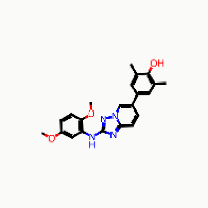 COc1ccc(OC)c(Nc2nc3ccc(-c4cc(C)c(O)c(C)c4)cn3n2)c1